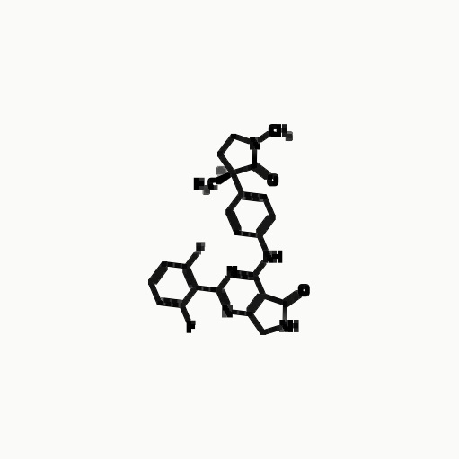 CN1CC[C@@](C)(c2ccc(Nc3nc(-c4c(F)cccc4F)nc4c3C(=O)NC4)cc2)C1=O